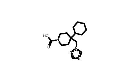 O=C(O)N1CCC(Cn2cncn2)(C2CCCCC2)CC1